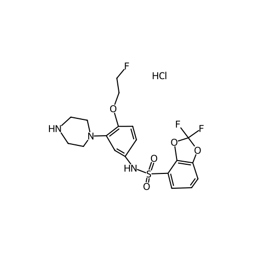 Cl.O=S(=O)(Nc1ccc(OCCF)c(N2CCNCC2)c1)c1cccc2c1OC(F)(F)O2